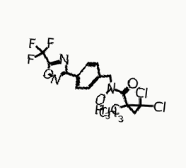 CON(Cc1ccc(-c2noc(C(F)(F)F)n2)cc1)C(=O)C1(C)CC1(Cl)Cl